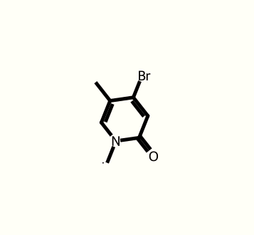 [CH2]n1cc(C)c(Br)cc1=O